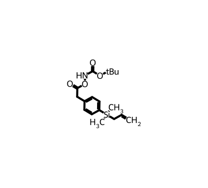 C=CC[Si](C)(C)c1ccc(CC(=O)ONC(=O)OC(C)(C)C)cc1